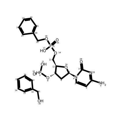 Nc1ccn([C@H]2C[C@H](O[PH](=O)O)[C@@H](COP(=O)(O)OCc3ccccc3)O2)c(=O)n1.OCc1ccccc1